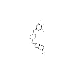 CCOc1cc(CN2CCC(Nc3nc4cc(S(=O)(=O)CC)ccc4o3)CC2)cc(OCC)c1F